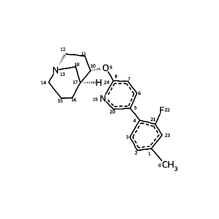 Cc1ccc(-c2ccc(O[C@H]3CC[N@@]4CCC[C@H]3C4)nc2)c(F)c1